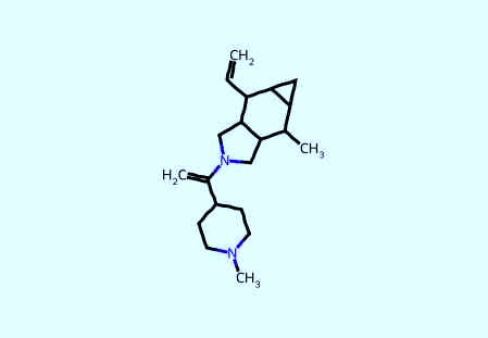 C=CC1C2CC2C(C)C2CN(C(=C)C3CCN(C)CC3)CC12